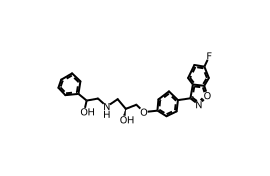 OC(CNC[C@H](O)COc1ccc(-c2noc3cc(F)ccc23)cc1)c1ccccc1